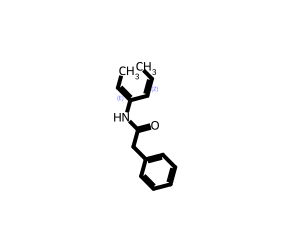 C/C=C\C(=C/C)NC(=O)Cc1ccccc1